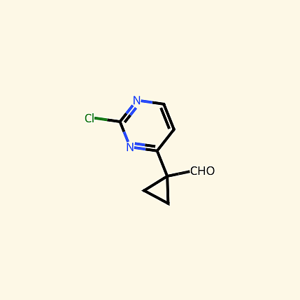 O=CC1(c2ccnc(Cl)n2)CC1